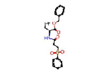 CC(C)C[C@H](NC(=O)CCS(=O)(=O)c1ccccc1)C(=O)OCc1ccccc1